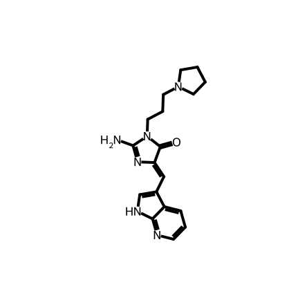 NC1=N/C(=C\c2c[nH]c3ncccc23)C(=O)N1CCCN1CCCC1